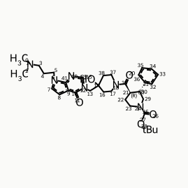 CN(C)CCCn1ccc2c(=O)n(CC3(O)CCN(C(=O)[C@@H]4CCN(C(=O)OC(C)(C)C)C[C@H]4c4ccccc4)CC3)cnc21